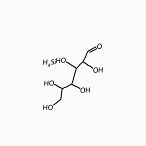 O=CC(O)C(O)C(O)C(O)CO.[SiH4]